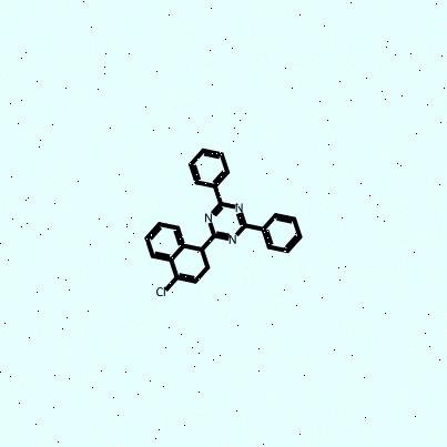 ClC1=CCC(c2nc(-c3ccccc3)nc(-c3ccccc3)n2)c2ccccc21